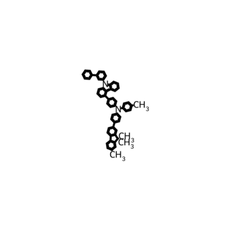 Cc1ccc(N(c2ccc(-c3ccc4c(c3)C(C)(C)c3cc(C)ccc3-4)cc2)c2ccc(-c3cccc4c3c3ccccc3n4-c3cccc(-c4ccccc4)c3)cc2)cc1